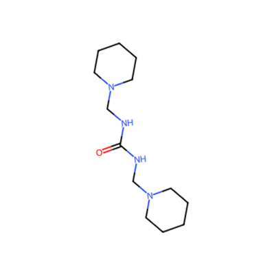 O=C(NCN1CCCCC1)NCN1CCCCC1